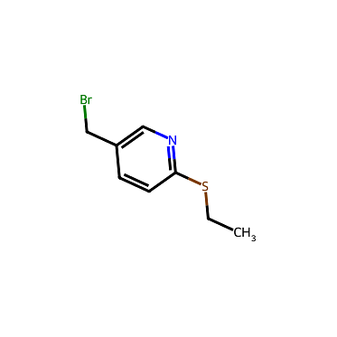 CCSc1ccc(CBr)cn1